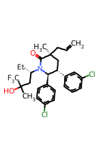 C=CC[C@@]1(C)C[C@H](c2cccc(Cl)c2)[C@@H](c2ccc(Cl)cc2)N([C@@H](CC)CC(C)(O)C(F)(F)F)C1=O